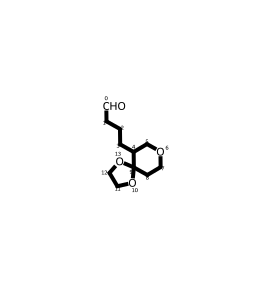 O=CCCCC1COCCC12OCCO2